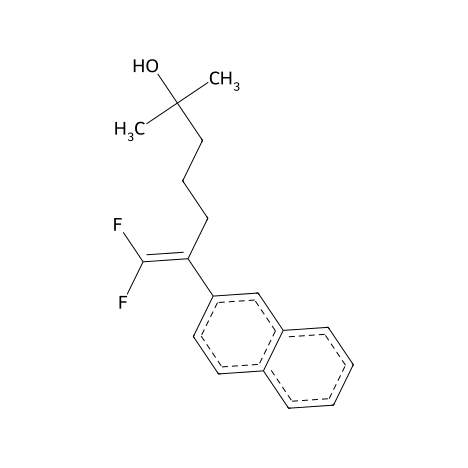 CC(C)(O)CCCC(=C(F)F)c1ccc2ccccc2c1